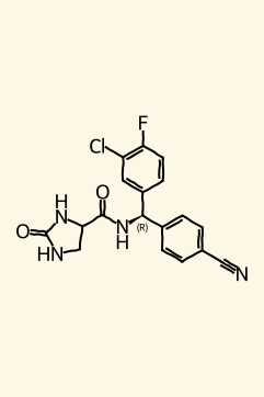 N#Cc1ccc([C@@H](NC(=O)C2CNC(=O)N2)c2ccc(F)c(Cl)c2)cc1